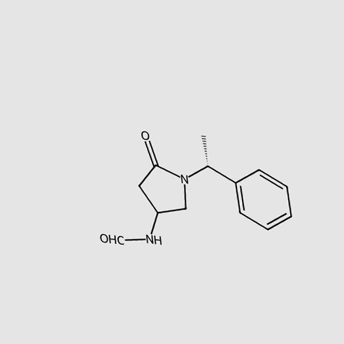 C[C@H](c1ccccc1)N1CC(NC=O)CC1=O